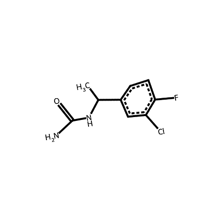 CC(NC(N)=O)c1ccc(F)c(Cl)c1